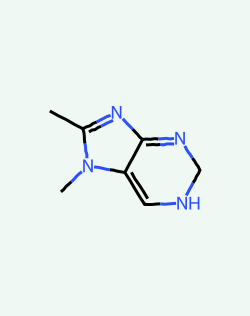 Cc1nc2c(n1C)=CNCN=2